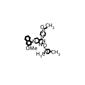 C=CC(=O)N1CCN(c2nc(OC[C@@H]3C[C@@H](C)CN3C)nc3c2CCN(c2cc(OC)cc4ccccc24)C3)CC1